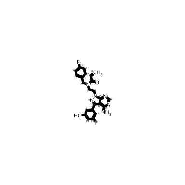 C=CC(=O)N(CCn1nc(-c2cc(O)cc(F)c2)c2c(N)ncnc21)Cc1ccc(F)cc1